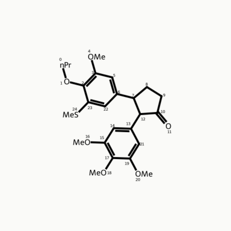 CCCOc1c(OC)cc(C2CCC(=O)C2c2cc(OC)c(OC)c(OC)c2)cc1SC